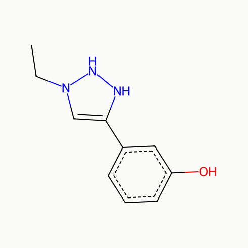 CCN1C=C(c2cccc(O)c2)NN1